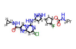 CC(C)NC(=O)O[C@H]1C[C@@H](c2cc(Nc3nc(Cl)cc4nc(C(=O)NC5CC5)cn34)n[nH]2)C[C@H]1F